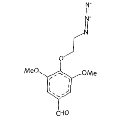 COc1cc(C=O)cc(OC)c1OCCN=[N+]=[N-]